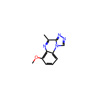 COc1cccc2c1nc(C)c1nncn12